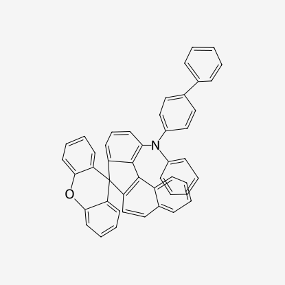 c1ccc(-c2ccc(N(c3ccccc3)c3cccc4c3-c3c(ccc5ccccc35)C43c4ccccc4Oc4ccccc43)cc2)cc1